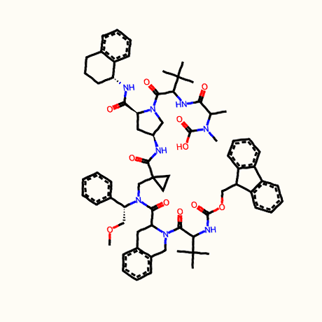 COC[C@H](c1ccccc1)N(CC1(C(=O)N[C@H]2C[C@@H](C(=O)N[C@@H]3CCCc4ccccc43)N(C(=O)C(NC(=O)C(C)N(C)C(=O)O)C(C)(C)C)C2)CC1)C(=O)C1Cc2ccccc2CN1C(=O)C(NC(=O)OCC1c2ccccc2-c2ccccc21)C(C)(C)C